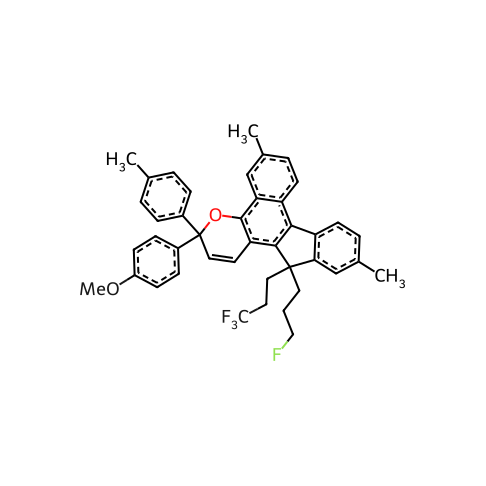 COc1ccc(C2(c3ccc(C)cc3)C=Cc3c4c(c5ccc(C)cc5c3O2)-c2ccc(C)cc2C4(CCCF)CCC(F)(F)F)cc1